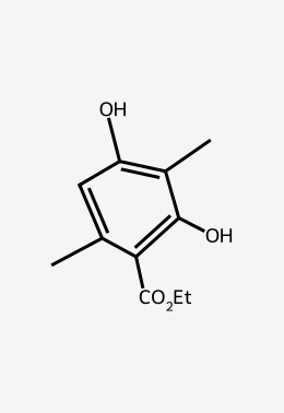 CCOC(=O)c1c(C)cc(O)c(C)c1O